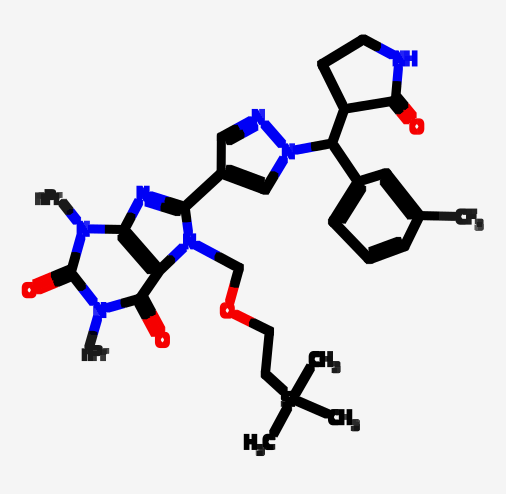 CCCn1c(=O)c2c(nc(-c3cnn(C(c4cccc(C(F)(F)F)c4)C4CCNC4=O)c3)n2COCC[Si](C)(C)C)n(CCC)c1=O